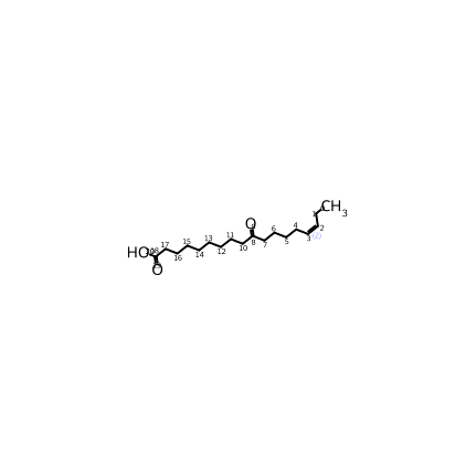 CC/C=C\CCCCC(=O)CCCCCCCCC(=O)O